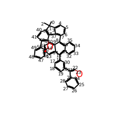 CC1(C)c2cccc(-c3c4ccccc4c(-c4cccc(-c5coc6ccccc56)c4)c4ccccc34)c2-c2c1ccc1c2oc2ccccc21